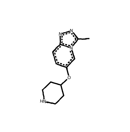 Cc1nnc2ccc(OC3CCNCC3)cn12